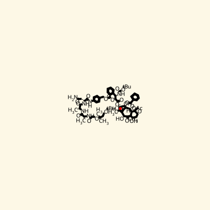 CC[C@@]1(C)C2=C(C)[C@@H](OC(=O)[C@H](OC(=O)OCc3ccc(NC(=O)[C@@H](CC(N)=O)NC(=O)[C@@H](C)NC(=O)[C@@H](C)NC(=O)COC(C)(C)CCOC(C)(C)C)cc3)[C@@H](NC(=O)OC(C)(C)C)c3ccccc3)C[C@@]1(O)[C@@H](OC(=O)c1ccccc1)[C@H]1[C@](C)(C(=O)[C@@H]2O)[C@@H](O)CC2OC[C@]21OC(C)=O